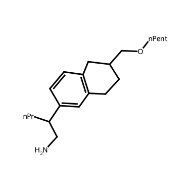 CCCCCOCC1CCc2cc(C(CN)CCC)ccc2C1